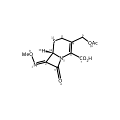 CON=C1C(=O)N2C(C(=O)O)=C(COC(C)=O)CS[C@@H]12